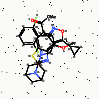 COC(=O)c1cc(OC(C)C)c2nc(N3C4CC(NCc5c(-c6c(F)cccc6F)noc5C5CC5)CC3C4)sc2c1